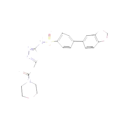 O=C(Cc1nnc(NS(=O)(=O)c2ccc(-c3ccc4c(c3)OCO4)cc2)s1)N1CCOCC1